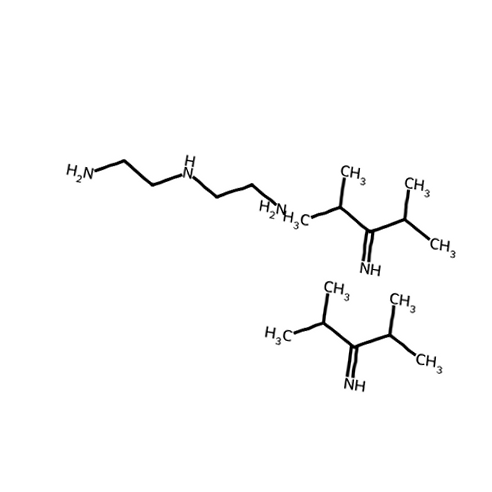 CC(C)C(=N)C(C)C.CC(C)C(=N)C(C)C.NCCNCCN